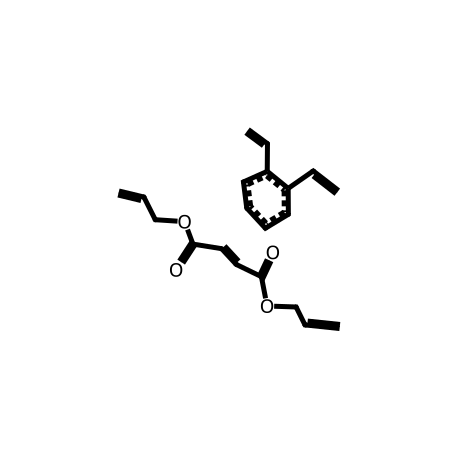 C=CCOC(=O)C=CC(=O)OCC=C.C=Cc1ccccc1C=C